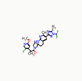 COc1cc([C@@H](C)C(=O)N2CC[C@@]3(CCc4cc(-c5nc(C)n(C(F)F)n5)c(C)nc4N3)C2)c(F)cn1